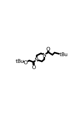 CC(C)(C)CCC(=O)N1CCN(C(=O)COC(C)(C)C)CC1